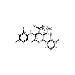 Cc1ccc(N/C(=C(C(N)=O)/C(=C\C=O)Oc2cccc(C)c2F)N(C)C)c(F)c1